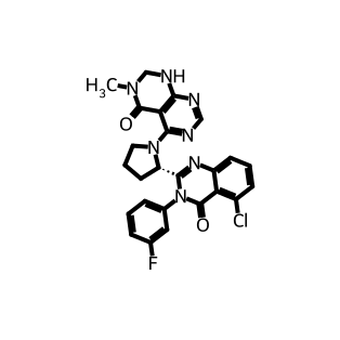 CN1CNc2ncnc(N3CCC[C@H]3c3nc4cccc(Cl)c4c(=O)n3-c3cccc(F)c3)c2C1=O